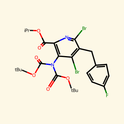 CC(C)OC(=O)c1nc(Br)c(Cc2ccc(F)cc2)c(Br)c1N(C(=O)OC(C)(C)C)C(=O)OC(C)(C)C